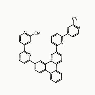 N#Cc1cc(-c2cccc(-c3ccc4c5ccccc5c5ccc(-c6cccc(-c7ccnc(C#N)c7)n6)cc5c4c3)n2)ccn1